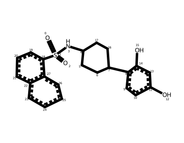 O=S(=O)(NC1CCC(c2ccc(O)cc2O)CC1)c1cccc2ccccc12